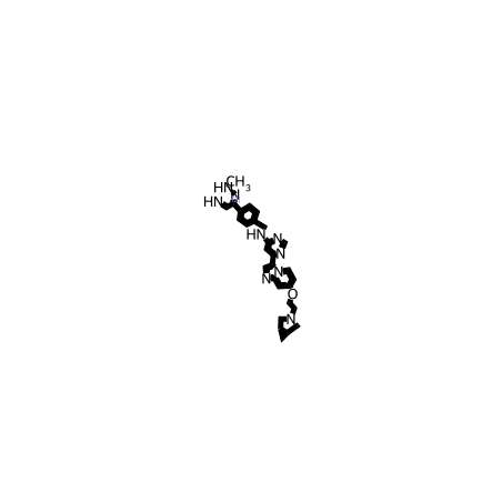 CN/N=C(\C=N)c1ccc(CNc2cc(-c3cnc4cc(OCCN5CC6CC6C5)ccn34)ncn2)cc1